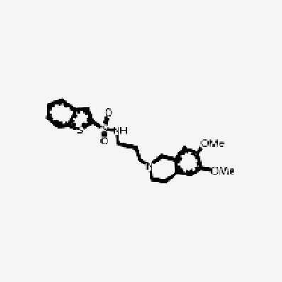 COc1cc2c(cc1OC)CN(CCCNS(=O)(=O)c1cc3ccccc3s1)CC2